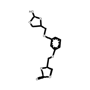 O=C1OCC(COc2cccc(OCC3COC(O)O3)c2)O1